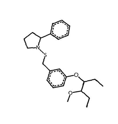 CCC(OC)C(CC)Oc1cccc(CSN2CCCC2c2ccccc2)c1